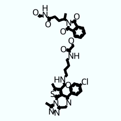 Cc1sc2c(c1C(=O)NCCCCNC(=O)COc1cccc3c1C(=O)N(C(C)CCC(=O)NC=O)C3=O)C(c1ccc(Cl)cc1)=NCc1nnc(C)n1-2